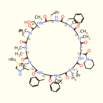 CCCCS1=CNC(C[C@H]2C(=O)N[C@@H](Cc3ccccc3)C(=O)N(C)[C@@H](Cc3ccccc3)C(=O)N(C)[C@@H](CC(C)C)C(=O)N[C@H](C(=O)N3CCCCC3)CC(=O)N(C)[C@@H](C)C(=O)N(C)[C@@H](Cc3ccccc3)C(=O)N[C@@H](CC(C)C)C(=O)N[C@@H]([C@@H](C)O)C(=O)N(C)[C@@H](CC(C)C)C(=O)N(C)[C@@H](C)C(=O)N2C)C1